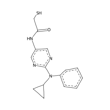 O=C(CS)Nc1cnc(N(c2ccccc2)C2CC2)nc1